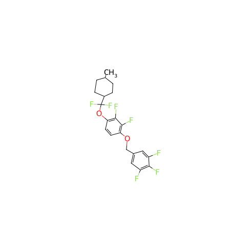 CC1CCC(C(F)(F)Oc2ccc(OCc3cc(F)c(F)c(F)c3)c(F)c2F)CC1